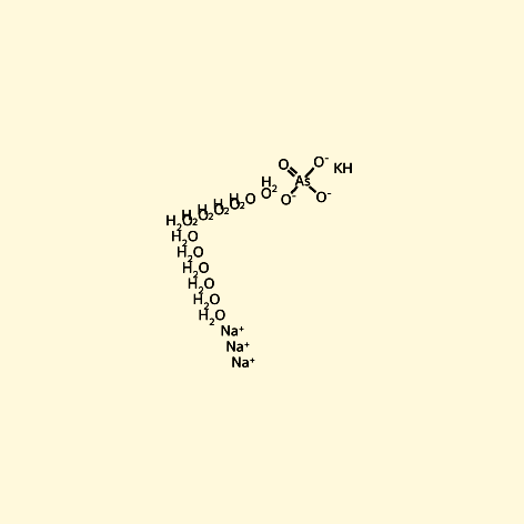 O.O.O.O.O.O.O.O.O.O.O.O.O=[As]([O-])([O-])[O-].[KH].[Na+].[Na+].[Na+]